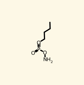 CCCCO[PH](=O)ON